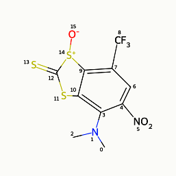 CN(C)c1c([N+](=O)[O-])cc(C(F)(F)F)c2c1sc(=S)[s+]2[O-]